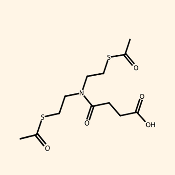 CC(=O)SCCN(CCSC(C)=O)C(=O)CCC(=O)O